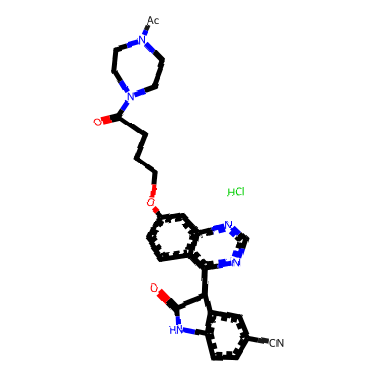 CC(=O)N1CCN(C(=O)CCCOc2ccc3c(C4C(=O)Nc5ccc(C#N)cc54)ncnc3c2)CC1.Cl